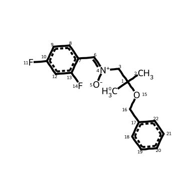 CC(C)(C[N+]([O-])=Cc1ccc(F)cc1F)OCc1ccccc1